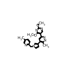 COc1ncc(-c2cc(-c3ccn(Cc4ccc(C)cn4)c3)c(C)nn2)c(OC)n1